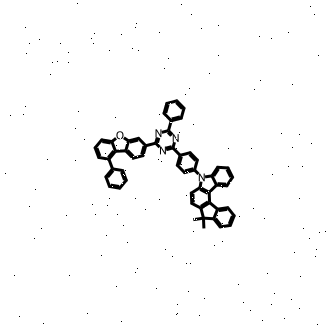 CC1(C)c2ccccc2-c2c1ccc1c2c2ccccc2n1-c1ccc(-c2nc(-c3ccccc3)nc(-c3ccc4c(c3)oc3cccc(-c5ccccc5)c34)n2)cc1